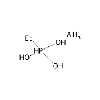 CC[PH](O)(O)O.[AlH3]